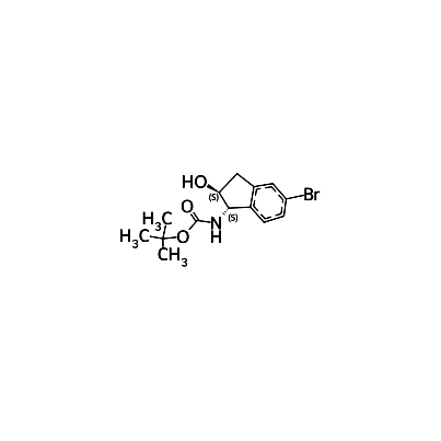 CC(C)(C)OC(=O)N[C@H]1c2ccc(Br)cc2C[C@@H]1O